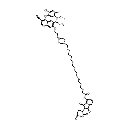 COc1cc(Nc2c(C#N)cnc3cc(OCCCN4CCN(CCCCCCOCCCCCOCCCCCC(=O)Nc5cccc6c5C(=O)C(C5CCC(=O)NC5=O)C6=O)CC4)c(OC)cc23)c(Cl)cc1Cl